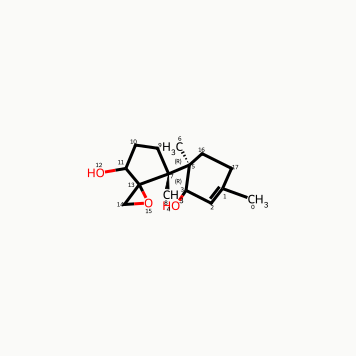 CC1=CC(O)[C@@](C)([C@@]2(C)CCC(O)C23CO3)CC1